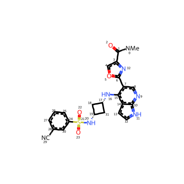 CNC(=O)c1coc(-c2cnc3[nH]ccc3c2N[C@H]2C[C@@H](NS(=O)(=O)c3cccc(C#N)c3)C2)n1